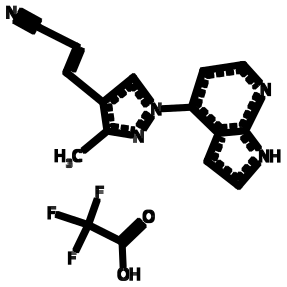 Cc1nn(-c2ccnc3[nH]ccc23)cc1/C=C/C#N.O=C(O)C(F)(F)F